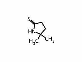 CC1(C)CCC(=S)N1